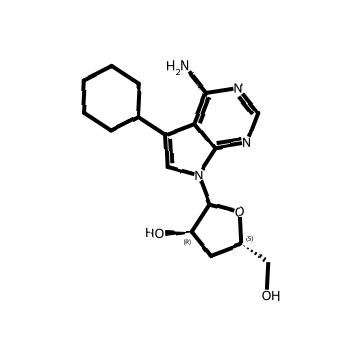 Nc1ncnc2c1c(C1CCCCC1)cn2C1O[C@H](CO)C[C@H]1O